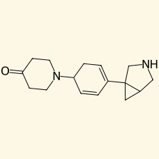 O=C1CCN(C2C=CC(C34CNCC3C4)=CC2)CC1